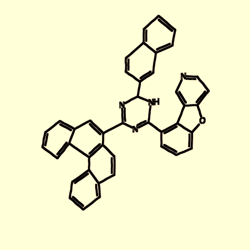 c1ccc2cc(C3N=C(c4cc5ccccc5c5c4ccc4ccccc45)N=C(c4cccc5oc6ccncc6c45)N3)ccc2c1